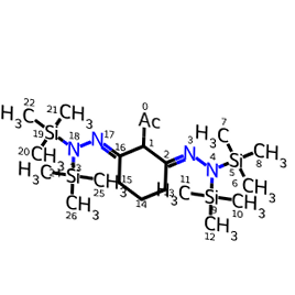 CC(=O)C1C(=NN([Si](C)(C)C)[Si](C)(C)C)CCCC1=NN([Si](C)(C)C)[Si](C)(C)C